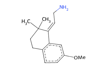 COc1ccc2c(c1)C(=CCN)C(C)(C)CC2